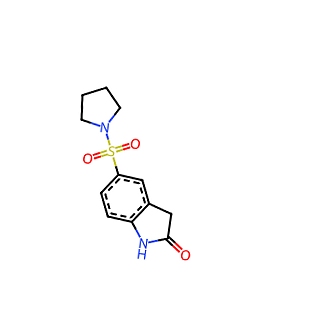 O=C1Cc2cc(S(=O)(=O)N3CCCC3)ccc2N1